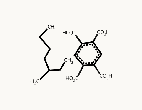 O=C(O)c1cc(C(=O)O)c(C(=O)O)cc1C(=O)O.[CH2]C(CC)CCCC